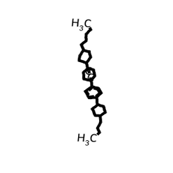 CCCCCC1CCC(C23CCC(c4ccc(C5CCC(CCCC)CC5)cc4)(CC2)CC3)CC1